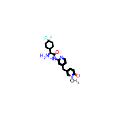 Cn1cc(Cc2ccnc(NC(=O)C(N)C3CCC(F)(F)CC3)c2)ccc1=O